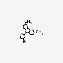 Cc1ccc2c(c1)c1cc(C)ccc1n2-c1cccc(Br)c1